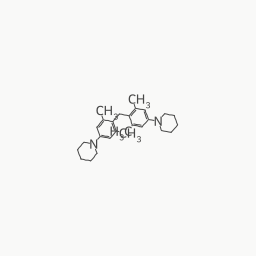 Cc1cc(N2CCCCC2)cc(C)c1Cc1c(C)cc(N2CCCCC2)cc1C